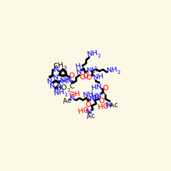 CC(=O)N(O)CCCC(NC(=O)[C@@H](N)CCCN(O)C(C)=O)C(=O)N[C@@H](CCCN(O)C(C)=O)C(=O)NCCNC(=O)[C@H](CCCCN)NC(=O)[C@H](CCCCN)NC(=O)CC[C@@H](NC(=O)c1ccc(N(C)Cc2cnc3nc(N)nc(N)c3n2)cc1)C(=O)O